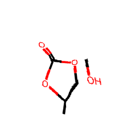 CC1COC(=O)O1.CO